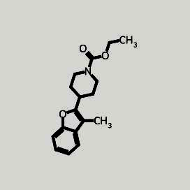 CCOC(=O)N1CCC(c2oc3ccccc3c2C)CC1